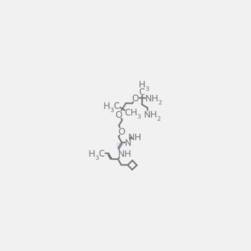 CC=CC(CC1CCC1)N/C=C(/COCCOC(C)(C)CCOC(C)(N)CCN)N=N